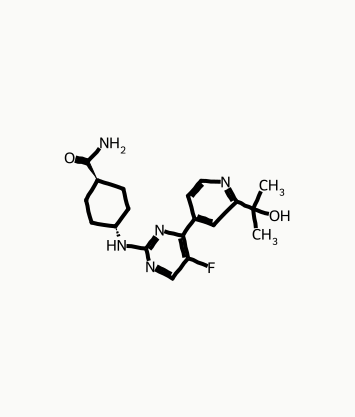 CC(C)(O)c1cc(-c2nc(N[C@H]3CC[C@H](C(N)=O)CC3)ncc2F)ccn1